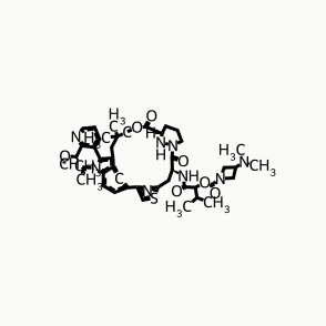 CCn1c(-c2cccnc2[C@H](C)OC)c2c3cc(ccc31)-c1csc(n1)C[C@H](NC(=O)C(OC(=O)N1CC(N(C)C)C1)C(C)C)C(=O)N1CCC[C@H](N1)C(=O)OCC(C)(C)C2